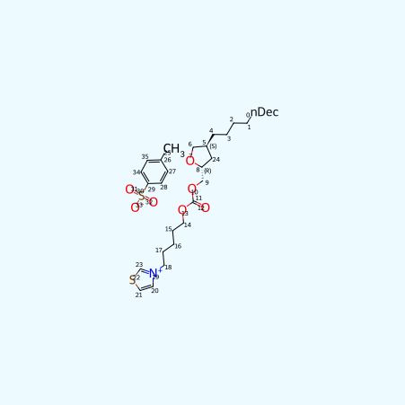 CCCCCCCCCCCCCC[C@@H]1CO[C@@H](COC(=O)OCCCCC[n+]2ccsc2)C1.Cc1ccc(S(=O)(=O)[O-])cc1